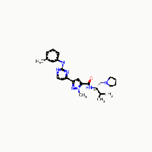 Cc1cccc(Nc2nccc(-c3cc(C(=O)N[C@H](CN4CCCC4)C(C)C)n(C)n3)n2)c1